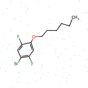 CCCCCCOc1cc(F)c(Br)cc1F